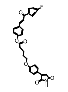 O=C1C=C(c2ccc(OCCCCC(=O)Oc3ccc(C=CC(=O)c4ccc(F)cc4)cc3)cc2)C(=O)N1